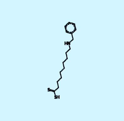 S=C(S)CCCCCCCCCNCc1ccccc1